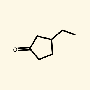 O=C1CCC(CI)C1